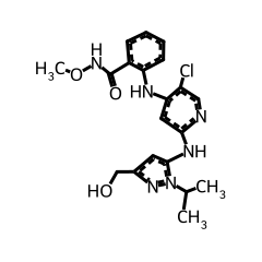 CONC(=O)c1ccccc1Nc1cc(Nc2cc(CO)nn2C(C)C)ncc1Cl